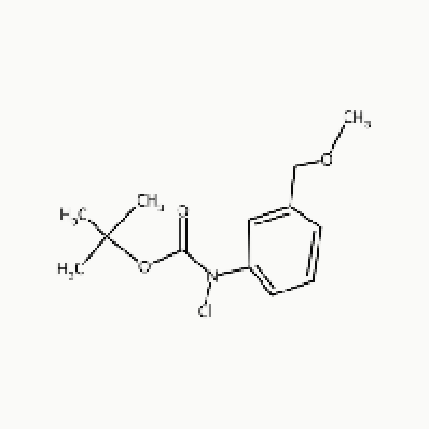 COCc1cccc(N(Cl)C(=O)OC(C)(C)C)c1